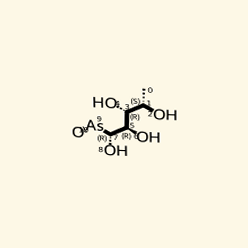 C[C@H](O)[C@@H](O)[C@@H](O)[C@H](O)[As]=O